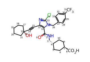 O=C(NC[C@H]1CC[C@H](C(=O)O)CC1)c1c(C#CC2(O)CCCCC2)nc(Cl)n1Cc1ccc(C(F)(F)F)cc1